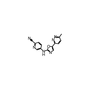 Cc1ccc(-c2cnc(Nc3ccc(C#N)nc3)o2)nn1